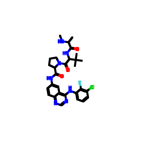 CNC(C)C(=O)NC(C(=O)N1CCCC1C(=O)Nc1ccc2ncnc(Nc3cccc(Cl)c3F)c2c1)C(C)(C)C